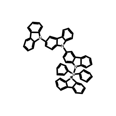 c1ccc([Si](c2ccccc2)(n2c3ccccc3c3ccccc32)n2c3ccccc3c3cc(-n4c5ccccc5c5cc(-n6c7ccccc7c7ccccc76)ccc54)ccc32)cc1